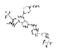 Cn1nc(-c2cnc(Nc3ccnc(-c4cnn(CC(F)(F)F)c4)n3)cc2NC2CCC(C)(O)CC2)cc1C(F)(F)F